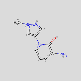 Cn1cc(-n2cccc(N)c2=O)cn1